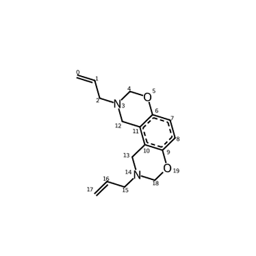 C=CCN1COc2ccc3c(c2C1)CN(CC=C)CO3